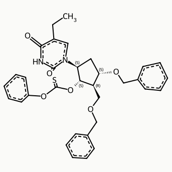 CCc1cn([C@H]2C[C@H](OCc3ccccc3)[C@@H](COCc3ccccc3)[C@@H]2OC(=S)Oc2ccccc2)c(=O)[nH]c1=O